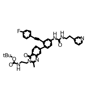 Cc1nc2cc(-c3ccc(NC(=O)NCCc4cccnc4)cc3C#Cc3ccc(F)cc3)ccc2c(=O)n1CCNC(=O)OC(C)(C)C